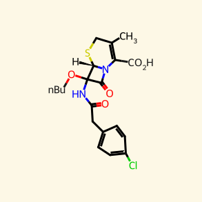 CCCCOC1(NC(=O)Cc2ccc(Cl)cc2)C(=O)N2C(C(=O)O)=C(C)CS[C@H]21